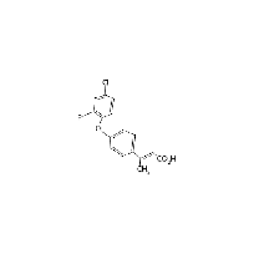 CC(=CC(=O)O)c1ccc(Oc2ccc(Cl)cc2F)cc1